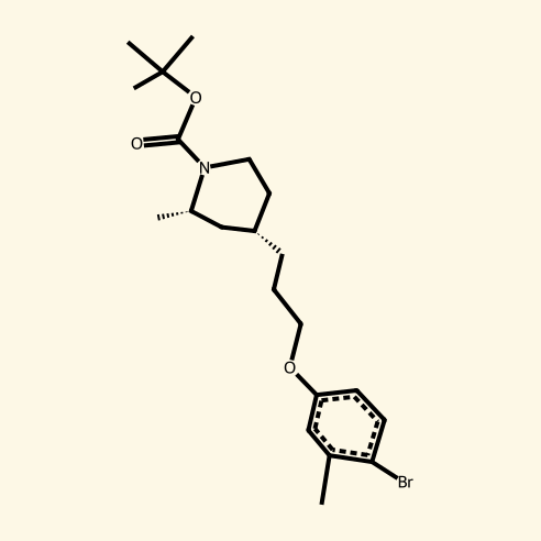 Cc1cc(OCCC[C@H]2CCN(C(=O)OC(C)(C)C)[C@@H](C)C2)ccc1Br